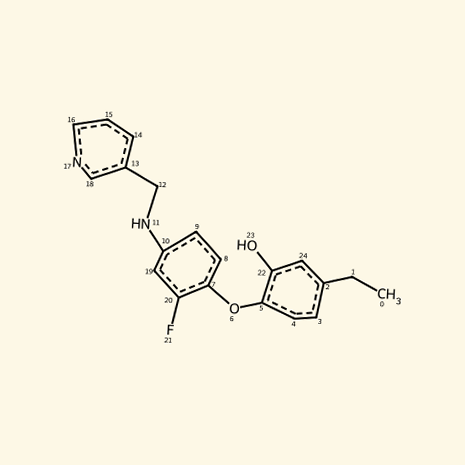 CCc1ccc(Oc2ccc(NCc3cccnc3)cc2F)c(O)c1